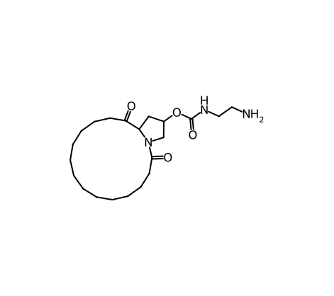 NCCNC(=O)OC1CC2C(=O)CCCCCCCCCCCCC(=O)N2C1